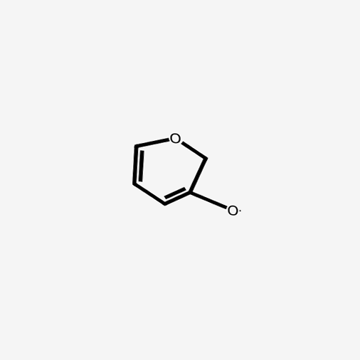 [O]C1=CC=COC1